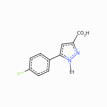 CCn1nc(C(=O)O)cc1-c1ccc(F)cc1